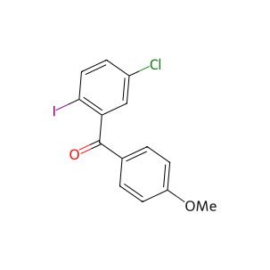 COc1ccc(C(=O)c2cc(Cl)ccc2I)cc1